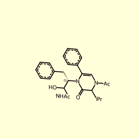 CC(=O)NC(O)[C@H](Cc1ccccc1)N1C(=O)C(C(C)C)N(C(C)=O)C=C1c1ccccc1